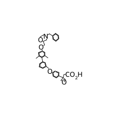 Cc1cc(OCC2CN(Cc3ccccc3)CCO2)cc(C)c1-c1cccc(COc2ccc(C3(CC(=O)O)COC3)cc2)c1